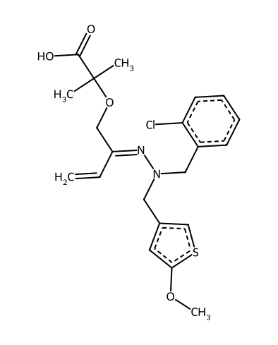 C=C/C(COC(C)(C)C(=O)O)=N\N(Cc1csc(OC)c1)Cc1ccccc1Cl